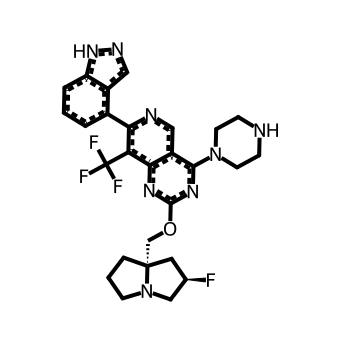 F[C@H]1CN2CCC[C@@]2(COc2nc(N3CCNCC3)c3cnc(-c4cccc5[nH]ncc45)c(C(F)(F)F)c3n2)C1